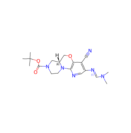 CN(C)/C=N/c1cnc2c(c1C#N)OC[C@H]1CN(C(=O)OC(C)(C)C)CCN21